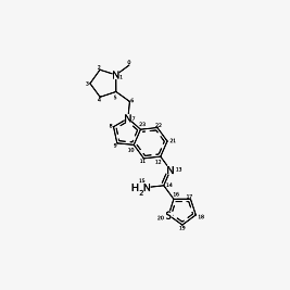 CN1CCCC1Cn1ccc2cc(N=C(N)c3cccs3)ccc21